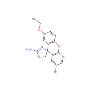 CC(C)(C)COc1ccc2c(c1)C1(COC(N)=N1)c1cc(Br)cnc1O2